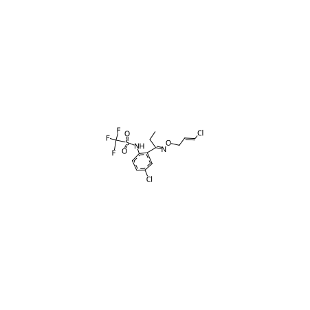 CC/C(=N\OC/C=C/Cl)c1cc(Cl)ccc1NS(=O)(=O)C(F)(F)F